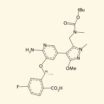 COc1nn(C)c(CN(C)C(=O)OC(C)(C)C)c1-c1cnc(N)c(O[C@H](C)c2cc(F)ccc2C(=O)O)c1